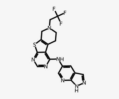 FC(F)(F)CN1CCc2c(sc3ncnc(Nc4cnc5[nH]ncc5c4)c23)C1